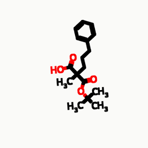 CC(C)(C)OC(=O)C(C)(CCCc1ccccc1)C(=O)O